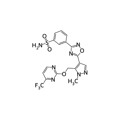 Cn1ncc(-c2nc(-c3cccc(S(N)(=O)=O)c3)no2)c1COc1nccc(C(F)(F)F)n1